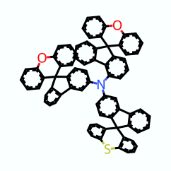 c1ccc2c(c1)Oc1ccccc1C21c2ccccc2-c2cc(N(c3ccc4c(c3)-c3ccccc3C43c4ccccc4Sc4ccccc43)c3cccc4c3-c3ccccc3C43c4ccccc4Oc4ccccc43)ccc21